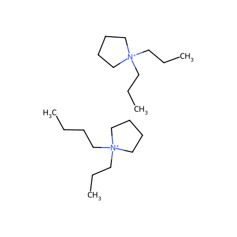 CCCC[N+]1(CCC)CCCC1.CCC[N+]1(CCC)CCCC1